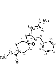 CC(C)(C)OC(=O)NC1CC2(CCN(C(=O)OC(C)(C)C)CC2)O[C@H]1Cc1ccccc1